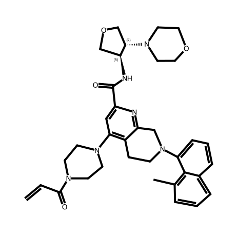 C=CC(=O)N1CCN(c2cc(C(=O)N[C@H]3COC[C@@H]3N3CCOCC3)nc3c2CCN(c2cccc4cccc(C)c24)C3)CC1